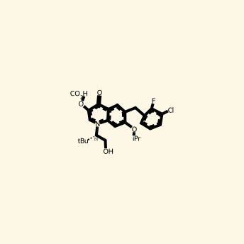 CC(C)Oc1cc2c(cc1Cc1cccc(Cl)c1F)c(=O)c(OC(=O)O)cn2[C@H](CO)C(C)(C)C